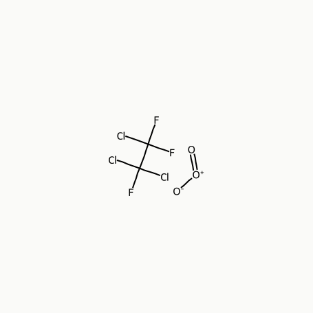 FC(F)(Cl)C(F)(Cl)Cl.O=[O+][O-]